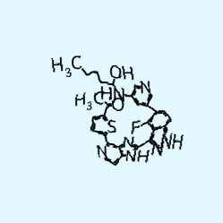 CCCCC(O)Nc1cncc(-c2ccc3[nH]nc(-c4nc5c(-c6ccc(C(C)=O)s6)nccc5[nH]4)c3c2F)c1